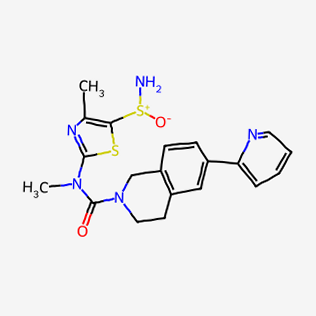 Cc1nc(N(C)C(=O)N2CCc3cc(-c4ccccn4)ccc3C2)sc1[S+](N)[O-]